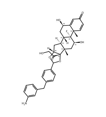 C[C@]12C=CC(=O)C=C1[C@H](O)C[C@H]1[C@@H]3C[C@H]4OC(c5ccc(Cc6cccc(N)c6)cc5)O[C@@]4(C(=O)CO)[C@@]3(C)C[C@H](O)[C@@]12F